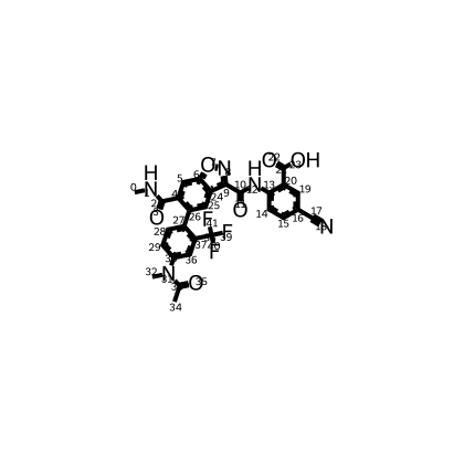 CNC(=O)c1cc2onc(C(=O)Nc3ccc(C#N)cc3C(=O)O)c2cc1-c1ccc(N(C)C(C)=O)cc1C(F)(F)F